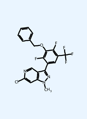 Cn1nc(-c2cc(C(F)(F)F)c(F)c(OCc3ccccc3)c2F)c2cnc(Cl)cc21